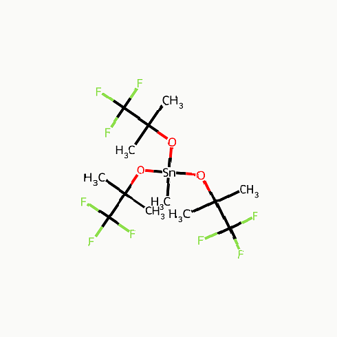 CC(C)([O][Sn]([CH3])([O]C(C)(C)C(F)(F)F)[O]C(C)(C)C(F)(F)F)C(F)(F)F